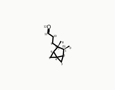 C[C@H]1C2CC23CC3[C@]1(C)CCC=O